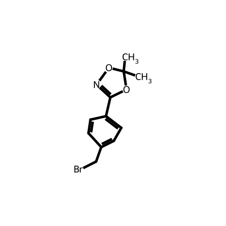 CC1(C)ON=C(c2ccc(CBr)cc2)O1